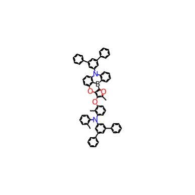 Cc1ccccc1N(c1cc(-c2ccccc2)cc(-c2ccccc2)c1)c1cccc(Oc2c(C)oc3c2Oc2cccc4c2B3c2ccccc2N4c2cc(-c3ccccc3)cc(-c3ccccc3)c2)c1C